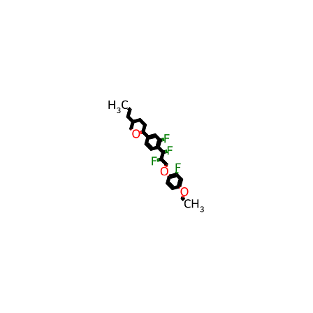 CCCC1CCC(c2ccc(C(F)C(F)COc3ccc(OCC)cc3F)c(F)c2)OC1